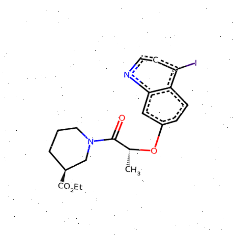 CCOC(=O)[C@H]1CCCN(C(=O)[C@@H](C)Oc2ccc3c(I)ccnc3c2)C1